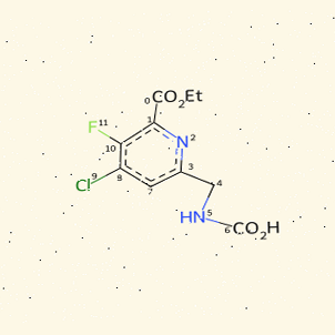 CCOC(=O)c1nc(CNC(=O)O)cc(Cl)c1F